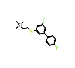 C[Si](C)(C)CCSc1cc(F)cc(-c2ccc(F)cc2)c1